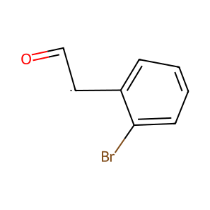 O=C[CH]c1ccccc1Br